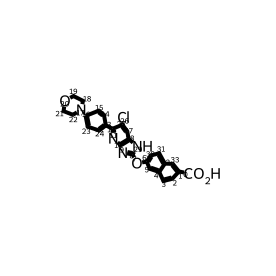 O=C(O)c1ccc2cc(Oc3nc4nc(-c5ccc(N6CCOCC6)cc5)c(Cl)cc4[nH]3)ccc2c1